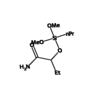 CCC[Si](OC)(OC)OC(CC)C(N)=O